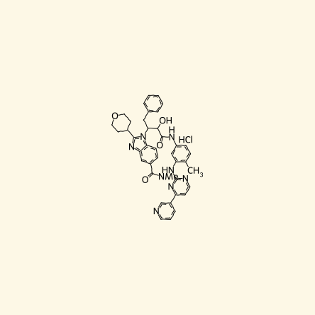 CNC(=O)c1ccc2c(c1)nc(C1CCOCC1)n2C(Cc1ccccc1)C(O)C(=O)Nc1ccc(C)c(Nc2nccc(-c3cccnc3)n2)c1.Cl